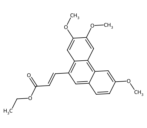 CCOC(=O)/C=C/c1cc2ccc(OC)cc2c2cc(OC)c(OC)cc12